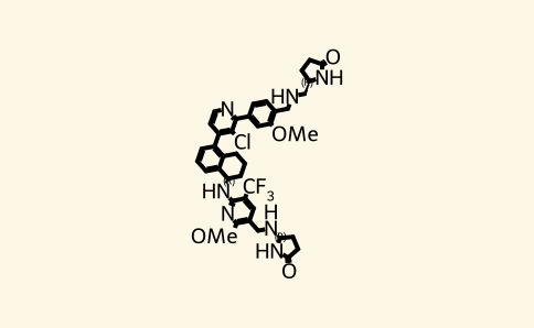 COc1cc(-c2nccc(-c3cccc4c3CCC[C@H]4Nc3nc(OC)c(CN[C@H]4CCC(=O)N4)cc3C(F)(F)F)c2Cl)ccc1CNC[C@H]1CCC(=O)N1